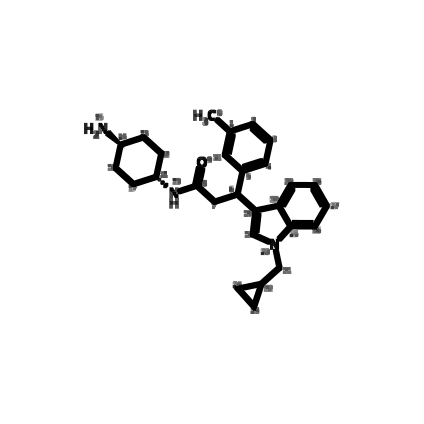 Cc1cccc(C(CC(=O)N[C@H]2CC[C@H](N)CC2)c2cn(CC3CC3)c3ccccc23)c1